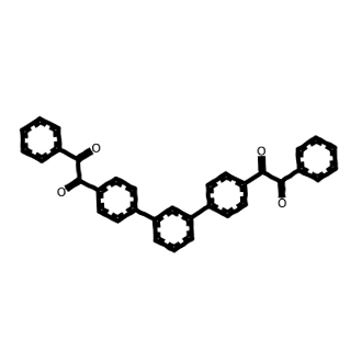 O=C(C(=O)c1ccc(-c2cccc(-c3ccc(C(=O)C(=O)c4ccccc4)cc3)c2)cc1)c1ccccc1